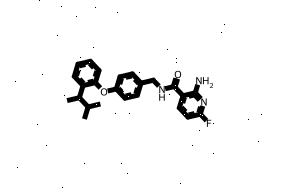 CC(C)C(C)c1ccccc1Oc1ccc(CNC(=O)c2ccc(F)nc2N)cc1